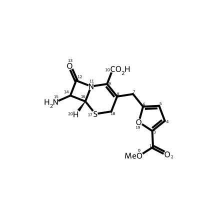 COC(=O)c1ccc(CC2=C(C(=O)O)N3C(=O)C(N)[C@H]3SC2)o1